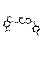 COc1ccc(N)c(OCC(O)CN2CCC(Oc3ccc(Cl)cc3)C2)c1